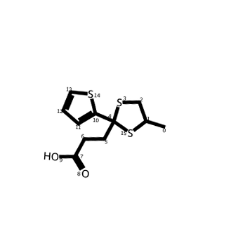 CC1CSC(CCC(=O)O)(c2cccs2)S1